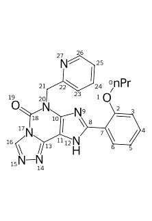 CCCOc1ccccc1-c1nc2c([nH]1)c1nncn1c(=O)n2Cc1ccccn1